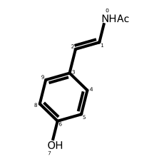 CC(=O)NC=Cc1ccc(O)cc1